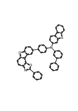 c1ccc(-c2cccc(N(c3ccc(-c4ccc5oc6ccc7nc(-c8ccccc8)oc7c6c5c4)cc3)c3ccc4c(c3)sc3ccccc34)c2)cc1